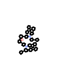 c1ccc(-c2cccc(N(c3ccc(-c4cccc5c4oc4c(-c6ccc(N(c7cccc(-c8ccccc8)c7)c7ccc8c(c7)C7(c9ccccc9-c9ccccc97)c7ccccc7-8)cc6)cccc45)cc3)c3ccc4c(c3)C3(c5ccccc5-c5ccccc53)c3ccccc3-4)c2)cc1